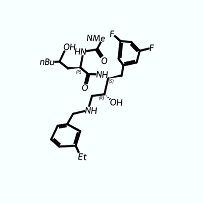 CCCCC(O)C[C@@H](NC(=O)NC)C(=O)N[C@@H](Cc1cc(F)cc(F)c1)[C@H](O)CNCc1cccc(CC)c1